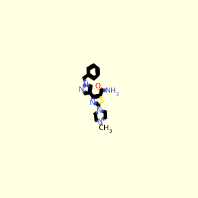 CN1CCN(c2nc(-c3cnn(Cc4ccccc4)c3)c(C(N)=O)s2)CC1